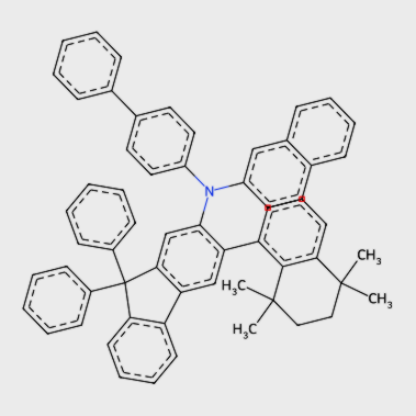 CC1(C)CCC(C)(C)c2c(-c3cc4c(cc3N(c3ccc(-c5ccccc5)cc3)c3ccc5ccccc5c3)C(c3ccccc3)(c3ccccc3)c3ccccc3-4)cccc21